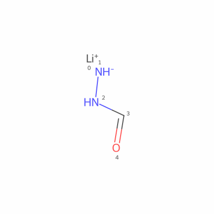 [Li+].[NH-]NC=O